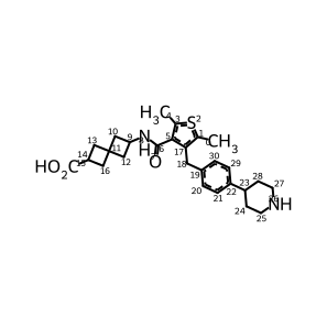 Cc1sc(C)c(C(=O)NC2CC3(C2)CC(C(=O)O)C3)c1Cc1ccc(C2CCNCC2)cc1